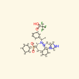 CC(c1ccccc1)N1CC(S(=O)(=O)c2ccccc2)Cc2ccccc2N1Cc1c[nH]cn1.O=C(O)C(F)(F)F